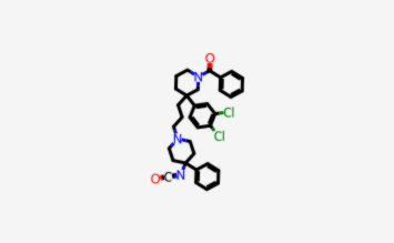 O=C=NC1(c2ccccc2)CCN(CCCC2(c3ccc(Cl)c(Cl)c3)CCCN(C(=O)c3ccccc3)C2)CC1